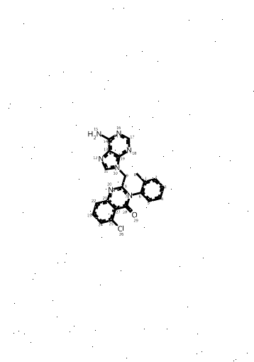 Cc1ccccc1-n1c(Cn2cnc3c(N)ncnc32)nc2cccc(Cl)c2c1=O